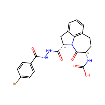 O=C(O)N[C@H]1CCc2cccc3c2N(C1=O)[C@H](C(=O)NNC(=O)c1ccc(Br)cc1)C3